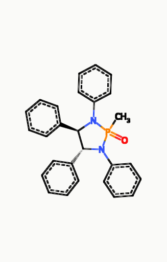 CP1(=O)N(c2ccccc2)[C@H](c2ccccc2)[C@@H](c2ccccc2)N1c1ccccc1